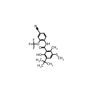 CSc1cc(C(C)(C)C)c(O)c(C(=O)Nc2ccc(C#N)cc2OC(F)(F)F)c1C